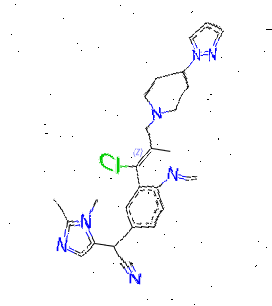 C=Nc1ccc(C(C#N)c2cnc(C)n2C)cc1/C(Cl)=C(\C)CN1CCC(n2cccn2)CC1